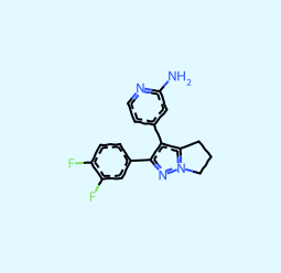 Nc1cc(-c2c(-c3ccc(F)c(F)c3)nn3c2CCC3)ccn1